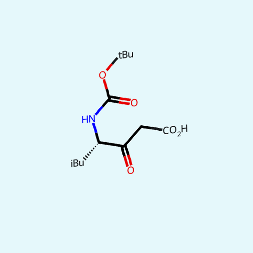 CCC(C)[C@H](NC(=O)OC(C)(C)C)C(=O)CC(=O)O